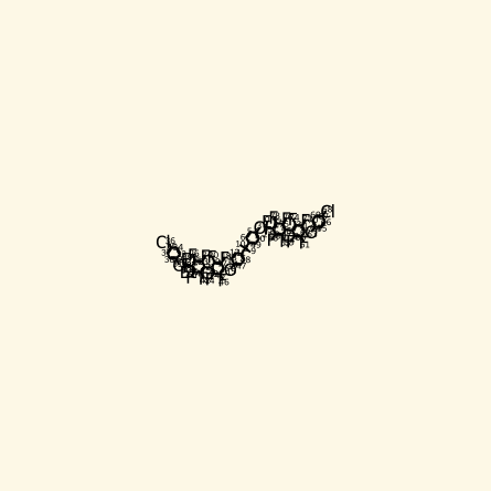 CCC(C)(Oc1ccc(C(C)(C)c2ccc(Oc3c(F)c(F)c(-c4c(F)c(F)c(C(CC)(CC)Oc5ccc(Cl)cc5)c(F)c4F)c(F)c3F)cc2)cc1)c1c(F)c(F)c(-c2c(F)c(F)c(Oc3ccc(Cl)cc3)c(F)c2F)c(F)c1F